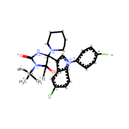 CCC1(O)N([Si](C)(C)C(C)(C)C)C(=O)NC1(c1cn(-c2ccc(F)cc2)c2ccc(Cl)cc12)N1CCCCC1